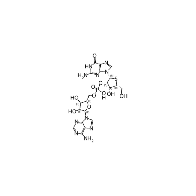 Nc1nc2c(ncn2[C@@H]2S[C@H](CO)[C@H](O)[C@@H]2OP(=O)(O)OC[C@H]2O[C@@H](n3cnc4c(N)ncnc43)[C@@H](O)[C@H]2O)c(=O)[nH]1